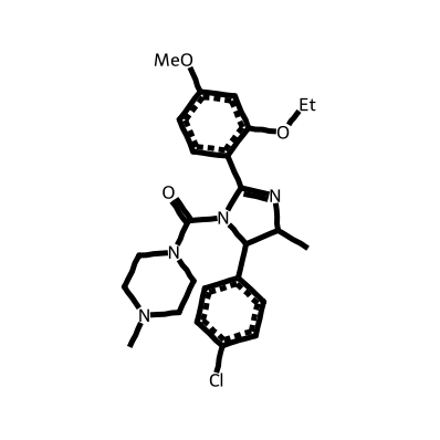 CCOc1cc(OC)ccc1C1=NC(C)C(c2ccc(Cl)cc2)N1C(=O)N1CCN(C)CC1